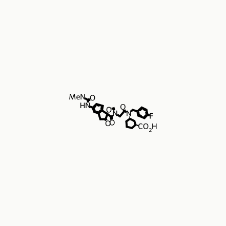 CNC(=O)Nc1ccc2c(c1)CC(=O)[C@]21OCN(CC(=O)N(Cc2ccc(F)cc2)[C@H]2CCC[C@H](C(=O)O)C2)C1=O